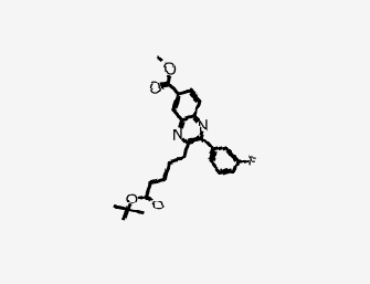 COC(=O)c1ccc2nc(-c3cccc(F)c3)c(CCCCC(=O)OC(C)(C)C)nc2c1